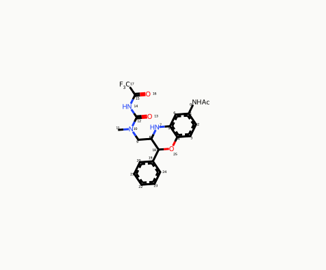 CC(=O)Nc1ccc2c(c1)NC(CN(C)C(=O)NC(=O)C(F)(F)F)C(c1ccccc1)O2